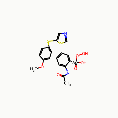 CC(=O)Nc1ccccc1[As](=O)(O)OO.COc1ccc(Sc2cncs2)cc1